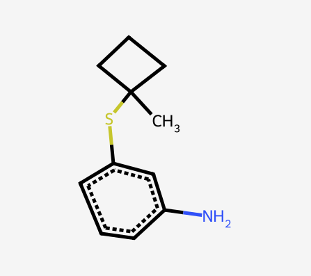 CC1(Sc2cccc(N)c2)CCC1